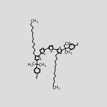 CCCCCCCCCCCCc1cc(C(C)(C)c2ccc(F)cc2)sc1-c1ccc(-c2ccc(-c3sc(C(C)(CC)c4ccc(F)cc4)cc3CCCCCCCCCCCC)s2)s1